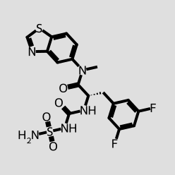 CN(C(=O)[C@H](Cc1cc(F)cc(F)c1)NC(=O)NS(N)(=O)=O)c1ccc2scnc2c1